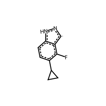 Fc1c(C2CC2)ccc2[nH]n[c]c12